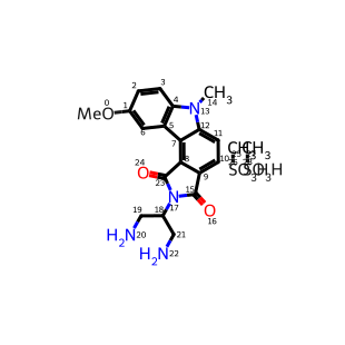 COc1ccc2c(c1)c1c3c(ccc1n2C)C(=O)N(C(CN)CN)C3=O.CS(=O)(=O)O.CS(=O)(=O)O